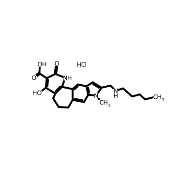 CCCCCNCc1cc2cc3c(cc2n1C)CCCc1c-3[nH]c(=O)c(C(=O)O)c1O.Cl